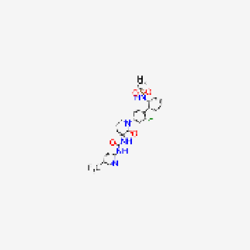 CS(=O)(=O)Nc1ccccc1-c1ccc(N2CCC[C@@H](NC(=O)Nc3ccc(C(F)(F)F)cn3)C2=O)cc1F